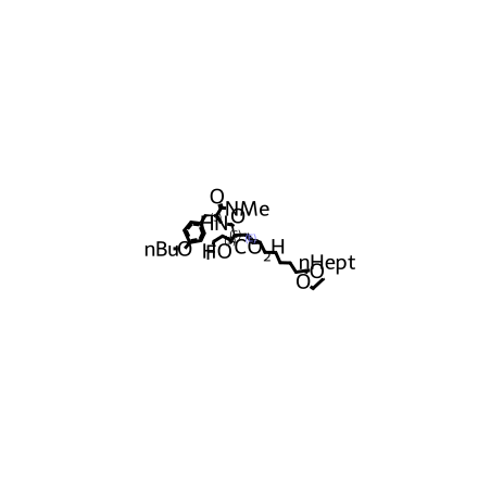 CCCCCCCC1(CCCCCC/C=C/[C@H](C(=O)N[C@@H](Cc2ccc(OCCCC)cc2)C(=O)NC)[C@@](O)(CCF)C(=O)O)OCCO1